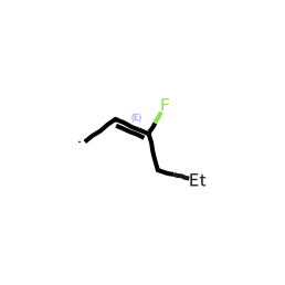 [CH2]/C=C(/F)CCC